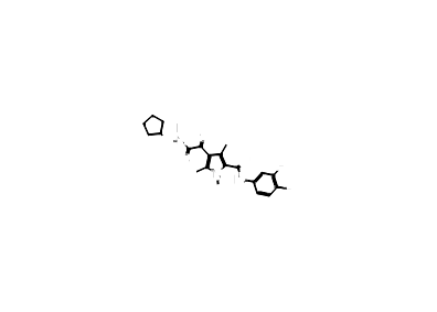 Cc1c(C(=O)C(=O)NOC2CCCC2)c(C)n(C)c1C(=O)Nc1ccc(F)c(F)c1